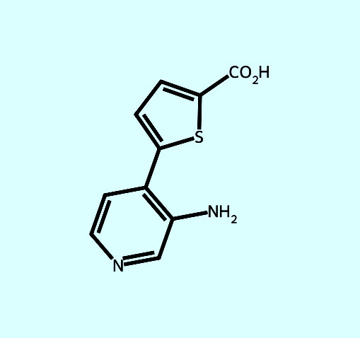 Nc1cnccc1-c1ccc(C(=O)O)s1